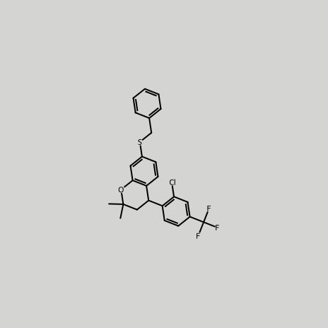 CC1(C)CC(c2ccc(C(F)(F)F)cc2Cl)c2ccc(SCc3ccccc3)cc2O1